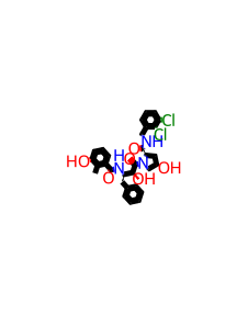 Cc1c(O)cccc1C(=O)N[C@@H](Cc1ccccc1)[C@H](O)C(=O)N1C[C@H](O)C[C@H]1C(=O)NCc1cccc(Cl)c1Cl